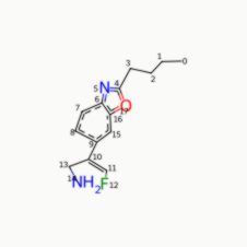 CCCCc1nc2ccc(C(=CF)CN)cc2o1